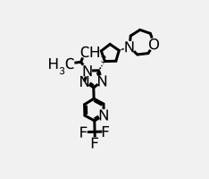 CC(C)n1nc(-c2ccc(C(F)(F)F)nc2)nc1[C@@H]1CC[C@H](N2CCCOCC2)C1